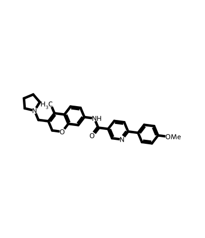 COc1ccc(-c2ccc(C(=O)Nc3ccc4c(c3)OCC(CN3CCCC3)=C4C)cn2)cc1